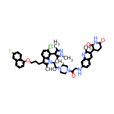 Cc1nc2cc(NCC(=O)N3CCN(CCn4c(C=O)c(CCCOc5cccc6cc(F)ccc56)c5ccc(Cl)c(-c6c(C)nn(C)c6C)c54)CC3)ccc2cc1C1CCC(=O)NC1=O